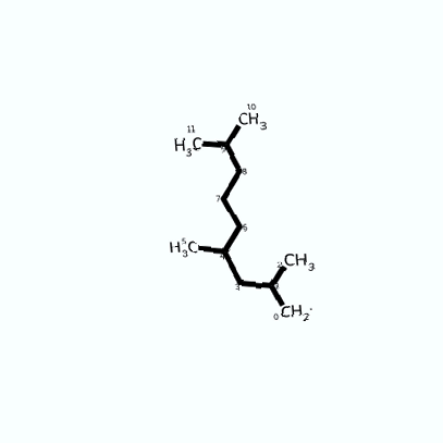 [CH2]C(C)CC(C)CCCC(C)C